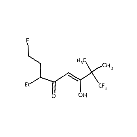 CCC(CCF)C(=O)/C=C(\O)C(C)(C)C(F)(F)F